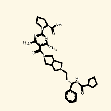 Cc1nc(N2CCC[C@H]2C(=O)O)nc(C)c1C(=O)N1CC2CN(CC[C@H](NC(=O)C3CCCC3)c3ccccc3)CC2C1